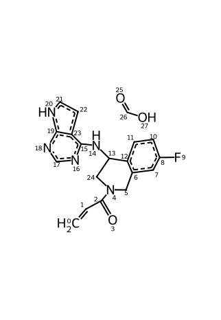 C=CC(=O)N1Cc2cc(F)ccc2C(Nc2ncnc3[nH]ccc23)C1.O=CO